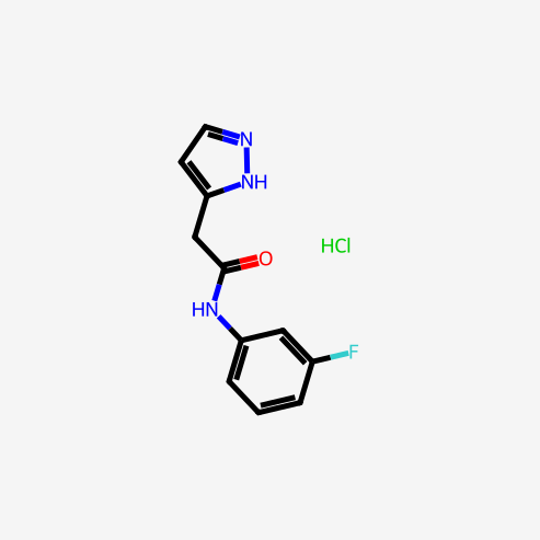 Cl.O=C(Cc1ccn[nH]1)Nc1cccc(F)c1